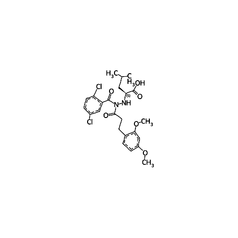 COc1ccc(CCC(=O)N(N[C@@H](CC(C)C)C(=O)O)C(=O)c2cc(Cl)ccc2Cl)c(OC)c1